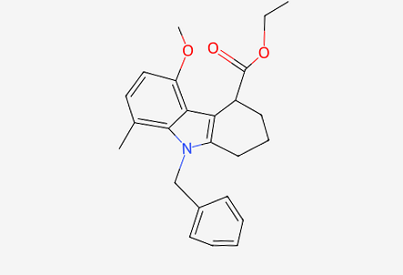 CCOC(=O)C1CCCc2c1c1c(OC)ccc(C)c1n2Cc1ccccc1